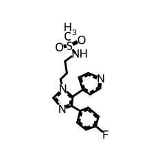 CS(=O)(=O)NCCCn1cnc(-c2ccc(F)cc2)c1-c1ccncc1